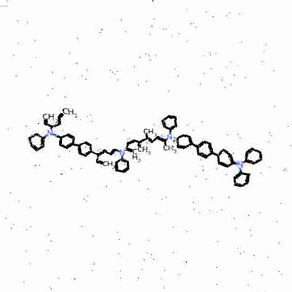 C=CCC(C=C)N(C1=CC=CCC1)C1C=CC(c2ccc(/C(C=C)=C/C=C/N(C(=C)/C=C\C(=C)/C(C)=C/C=C(\C)N(c3ccccc3)[C@H]3C=CC(c4ccc(C5C=CC(N(C6=CCCC=C6)c6ccccc6)=CC5)cc4)=CC3)c3ccccc3)cc2)=CC1